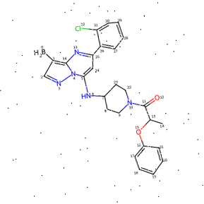 Bc1cnn2c(NC3CCN(C(=O)C(C)Oc4ccccc4)CC3)cc(-c3ccccc3Cl)nc12